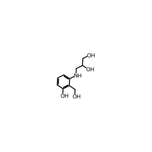 OCc1c(O)cccc1NCC(O)CO